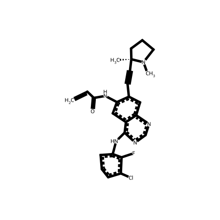 C=CC(=O)Nc1cc2c(Nc3cccc(Cl)c3F)ncnc2cc1C#C[C@@]1(C)CCCN1C